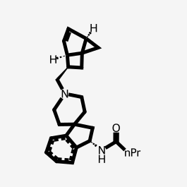 CCCC(=O)N[C@H]1CC2(CCN(C[C@@H]3CC45C[C@@H]4C=C[C@H]35)CC2)c2ccccc21